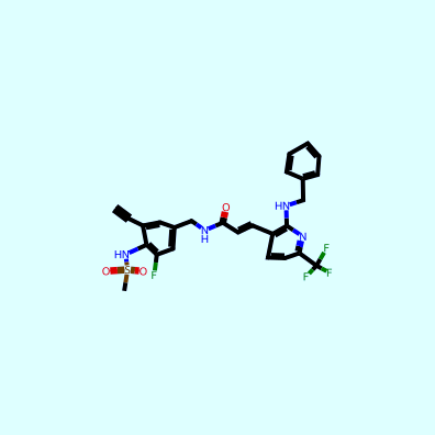 C#Cc1cc(CNC(=O)C=Cc2ccc(C(F)(F)F)nc2NCc2ccccc2)cc(F)c1NS(C)(=O)=O